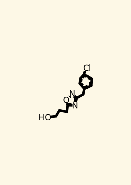 OCCCc1nc(Cc2ccc(Cl)cc2)no1